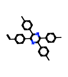 C=Cc1ccc(-c2nc(-c3ccc(C)cc3)c(-c3ccc(C)cc3)nc2-c2ccc(C)cc2)cc1